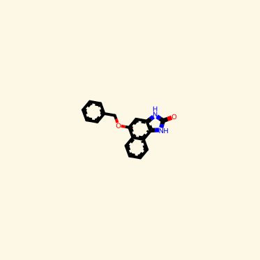 O=c1[nH]c2cc(OCc3ccccc3)c3ccccc3c2[nH]1